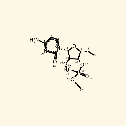 CC[C@H]1O[C@@H](n2ccc(N)nc2=O)C(OC)[C@H]1OP(=O)(O)OC